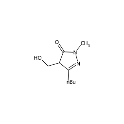 CCCCC1=NN(C)C(=O)C1CO